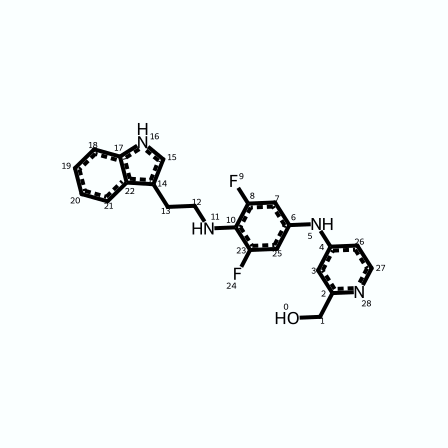 OCc1cc(Nc2cc(F)c(NCCc3c[nH]c4ccccc34)c(F)c2)ccn1